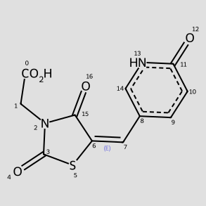 O=C(O)CN1C(=O)S/C(=C/c2ccc(=O)[nH]c2)C1=O